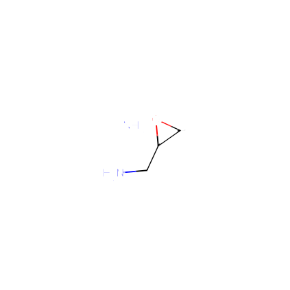 N.NCC1CO1